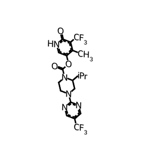 Cc1c(OC(=O)N2CCN(c3ncc(C(F)(F)F)cn3)CC2C(C)C)c[nH]c(=O)c1C(F)(F)F